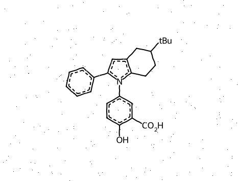 CC(C)(C)C1CCc2c(cc(-c3ccccc3)n2-c2ccc(O)c(C(=O)O)c2)C1